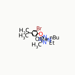 C=C(C)c1cc(Br)c(Oc2nc(C)nc(N(CC)CCCC)n2)c(OC)c1